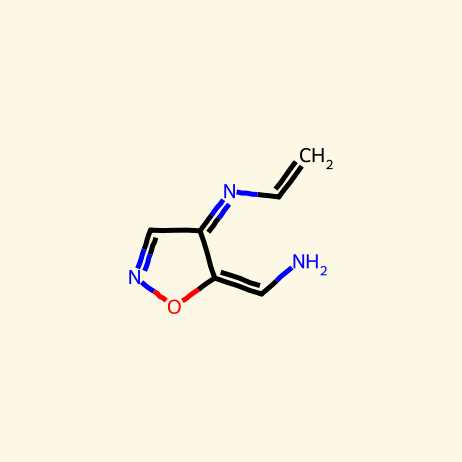 C=C/N=C1/C=NO/C1=C/N